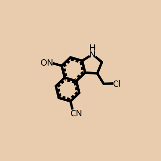 N#Cc1ccc2c(N=O)cc3c(c2c1)C(CCl)CN3